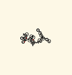 C=C1C[C@@H](CC2(OC)OC(CC(CC(=O)SC(C)(C)C)O[Si](c3ccccc3)(c3ccccc3)C(C)(C)C)CC(OC(C)=O)C2(C)C)O[C@@H](C=CC(C)(C)C2=CCCC(C[C@@H](OCc3ccc(OC)cc3)[C@@H](C)OCOCc3ccccc3)O2)C1